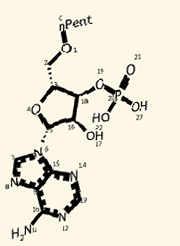 CCCCCOC[C@H]1O[C@@H](n2cnc3c(N)ncnc32)[C@H](O)[C@@H]1OP(=O)(O)O